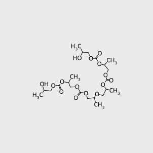 CC(O)COC(=O)OC(C)COC(=O)OCC(C)OCC(C)OC(=O)OCC(C)OC(=O)OCC(C)O